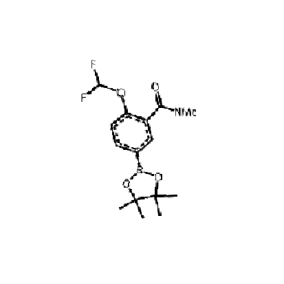 CNC(=O)c1cc(B2OC(C)(C)C(C)(C)O2)ccc1OC(F)F